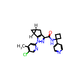 Cc1cc(-n2nc(C(=O)NC3(c4ccncc4)CCC3)c3c2[C@@H]2C[C@@H]2C3)ncc1Cl